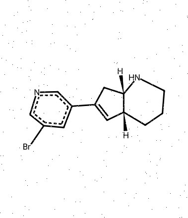 Brc1cncc(C2=C[C@H]3CCCN[C@H]3C2)c1